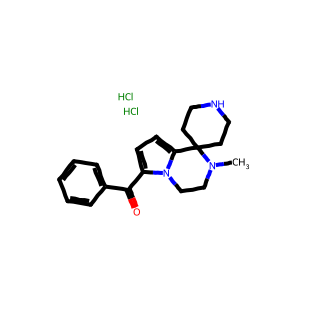 CN1CCn2c(C(=O)c3ccccc3)ccc2C12CCNCC2.Cl.Cl